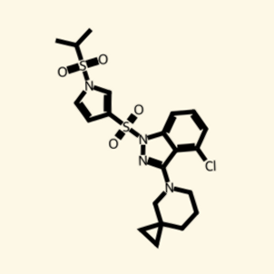 CC(C)S(=O)(=O)n1ccc(S(=O)(=O)n2nc(N3CCCC4(CC4)C3)c3c(Cl)cccc32)c1